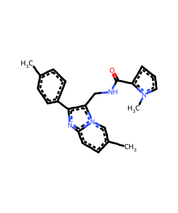 Cc1ccc(-c2nc3ccc(C)cn3c2CNC(=O)c2cccn2C)cc1